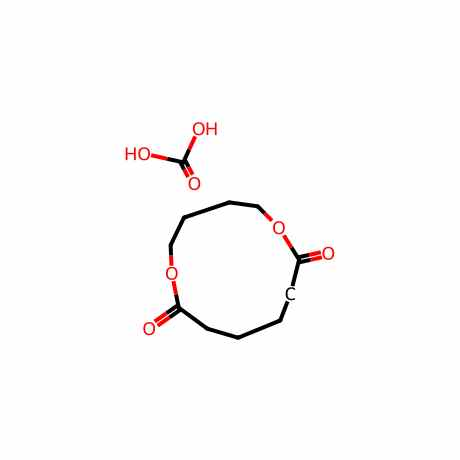 O=C(O)O.O=C1CCCCC(=O)OCCCCO1